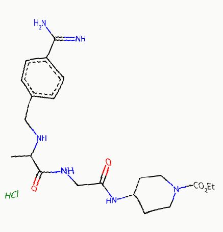 CCOC(=O)N1CCC(NC(=O)CNC(=O)C(C)NCc2ccc(C(=N)N)cc2)CC1.Cl